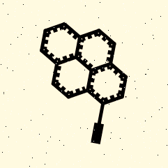 [C]#Cc1[c]cc2ccc3cccc4ccc1c2c34